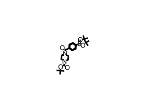 CC(C)(C)OC(=O)N1CCN(C(=O)c2ccc(B3OC(C)(C)C(C)(C)O3)cc2)CC1